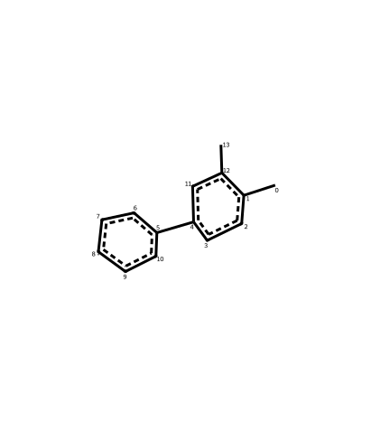 Cc1ccc(-c2cc[c]cc2)cc1C